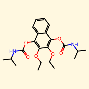 CCOc1c(OCC)c(OC(=O)NC(C)C)c2ccccc2c1OC(=O)NC(C)C